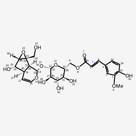 COc1cc(/C=C/C(=O)OC[C@H]2O[C@@H](O[C@@H]3OC=C[C@H]4[C@H](O)[C@@H]5O[C@]5(CO)[C@@H]34)[C@H](O)[C@@H](O)[C@@H]2O)ccc1O